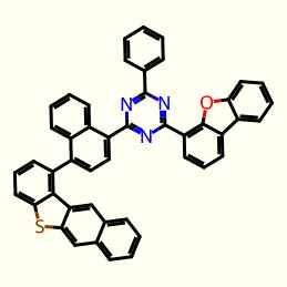 c1ccc(-c2nc(-c3ccc(-c4cccc5sc6cc7ccccc7cc6c45)c4ccccc34)nc(-c3cccc4c3oc3ccccc34)n2)cc1